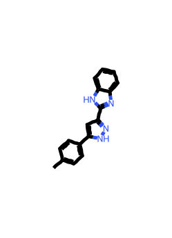 Cc1ccc(-c2cc(-c3nc4ccccc4[nH]3)n[nH]2)cc1